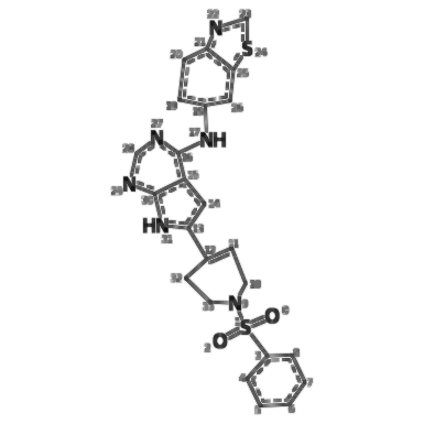 O=S(=O)(c1ccccc1)N1CC=C(c2cc3c(Nc4ccc5ncsc5c4)ncnc3[nH]2)CC1